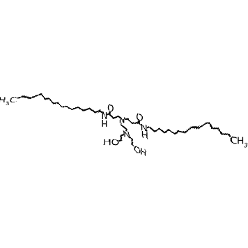 CCCCCCCCCCCCCCCCNC(=O)CCN(CCC(=O)NCCCCCCCCCCCCCCCC)CCN(CCO)CCO